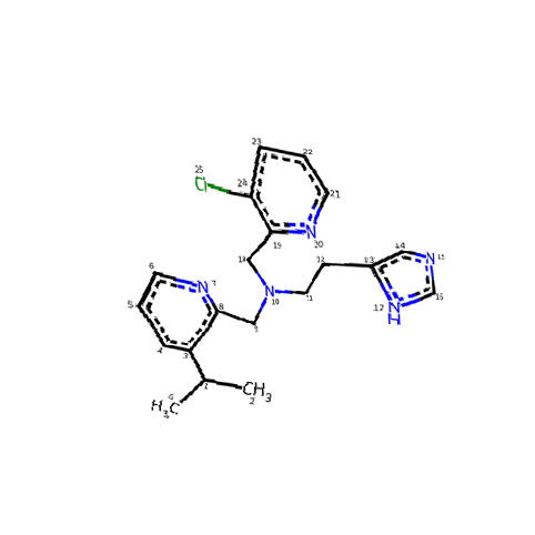 CC(C)c1cccnc1CN(CCc1cnc[nH]1)Cc1ncccc1Cl